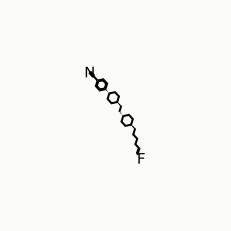 N#Cc1ccc([C@H]2CC[C@H](CC[C@H]3CC[C@H](CCCCC=CF)CC3)CC2)cc1